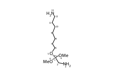 CO[Si](CN)(OC)OCCCCCCCN